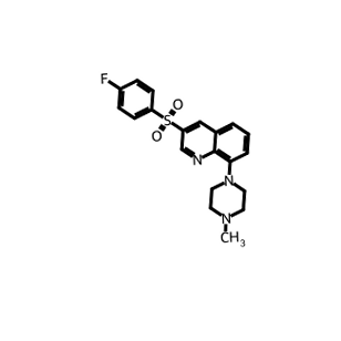 CN1CCN(c2cccc3cc(S(=O)(=O)c4ccc(F)cc4)cnc23)CC1